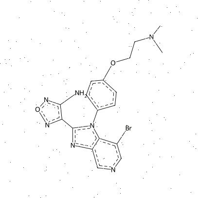 CN(C)CCOc1ccc(-n2c(-c3nonc3N)nc3cncc(Br)c32)cc1